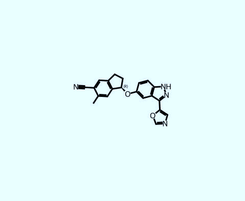 Cc1cc2c(cc1C#N)CC[C@H]2Oc1ccc2[nH]nc(-c3cnco3)c2c1